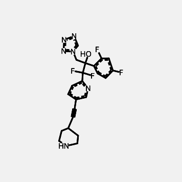 OC(Cn1cnnn1)(c1ccc(F)cc1F)C(F)(F)c1ccc(C#CC2CCNCC2)cn1